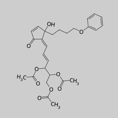 CC(=O)OCC(OC(C)=O)C(C=CC=C1C(=O)C=CC1(O)CCCCOc1ccccc1)OC(C)=O